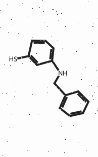 Sc1cccc(NCc2ccccc2)c1